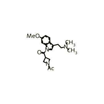 COc1ccc2c(CCN(C)C)cn(C(=O)C3CN(C(C)=O)C3)c2c1